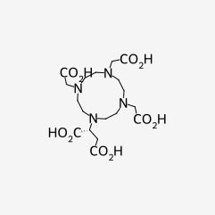 O=C(O)C[C@H](C(=O)O)N1CCN(CC(=O)O)CCN(CC(=O)O)CCN(CC(=O)O)CC1